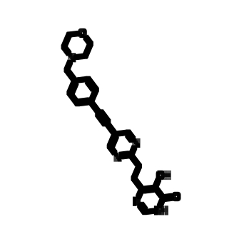 O=c1[nH]cnc(CCc2ncc(C#Cc3ccc(CN4CCOCC4)cc3)cn2)c1O